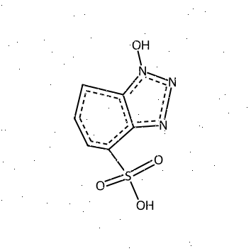 O=S(=O)(O)c1cccc2c1nnn2O